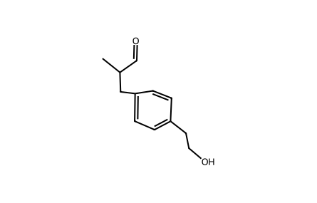 CC(C=O)Cc1ccc(CCO)cc1